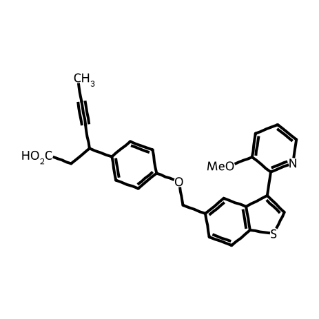 CC#CC(CC(=O)O)c1ccc(OCc2ccc3scc(-c4ncccc4OC)c3c2)cc1